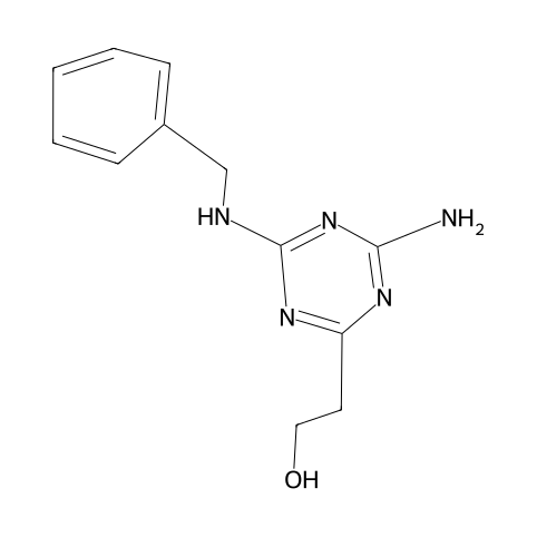 Nc1nc(CCO)nc(NCc2ccccc2)n1